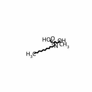 CCCCCCCCCCCC1=NC(C(C)O)CN1CC(=O)O